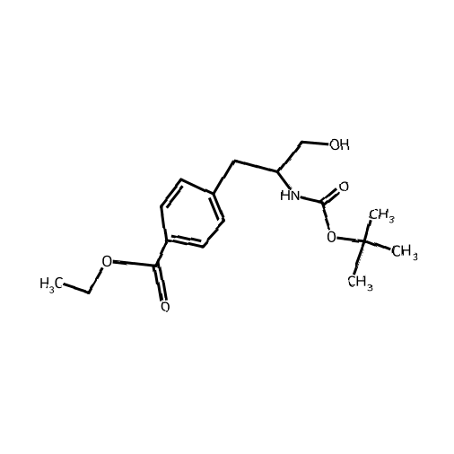 CCOC(=O)c1ccc(CC(CO)NC(=O)OC(C)(C)C)cc1